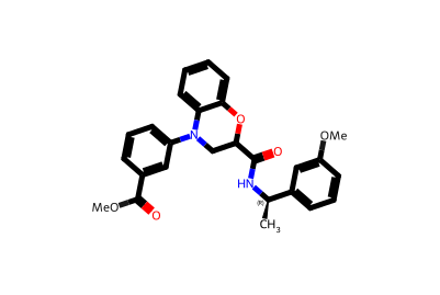 COC(=O)c1cccc(N2CC(C(=O)N[C@H](C)c3cccc(OC)c3)Oc3ccccc32)c1